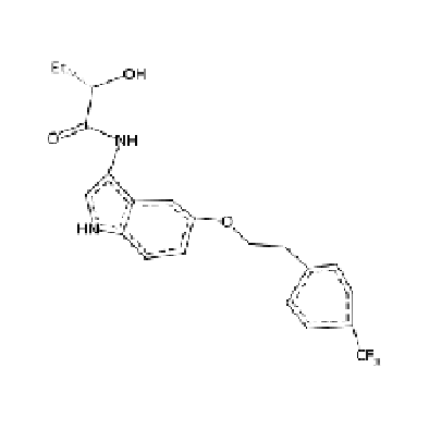 CC[C@H](O)C(=O)Nc1c[nH]c2ccc(OCCc3ccc(C(F)(F)F)cc3)cc12